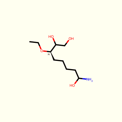 CCO[C@H](CCCCC(N)O)C(O)CO